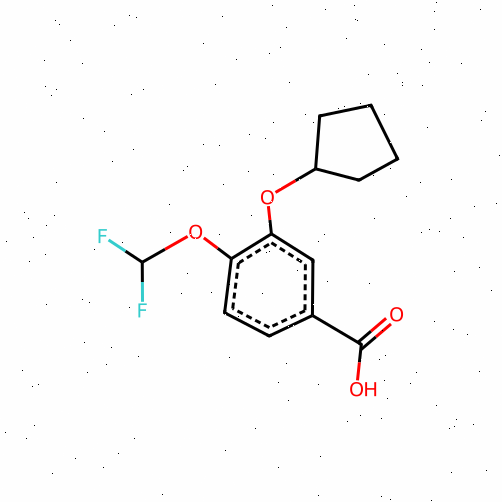 O=C(O)c1ccc(OC(F)F)c(OC2CCCC2)c1